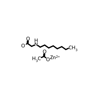 CC(=O)[O-].CCCCCCCCNCC(=O)[O-].[Zn+2]